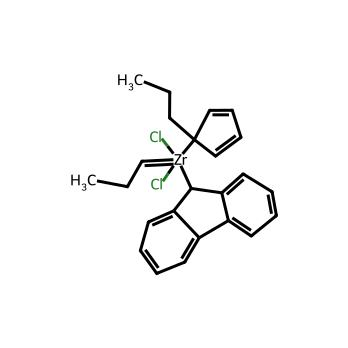 CC[CH]=[Zr]([Cl])([Cl])([CH]1c2ccccc2-c2ccccc21)[C]1(CCC)C=CC=C1